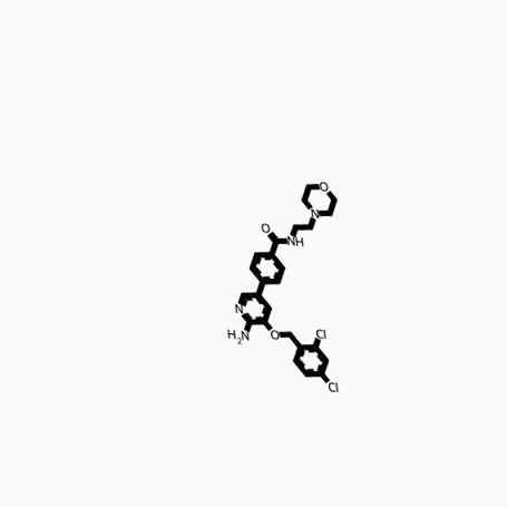 Nc1ncc(-c2ccc(C(=O)NCCN3CCOCC3)cc2)cc1OCc1ccc(Cl)cc1Cl